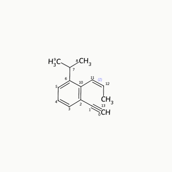 C#Cc1cccc(C(C)C)c1/C=C\C